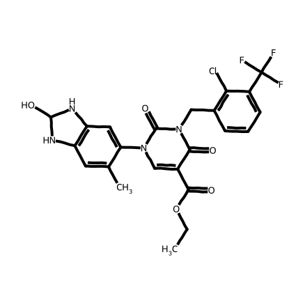 CCOC(=O)c1cn(-c2cc3c(cc2C)NC(O)N3)c(=O)n(Cc2cccc(C(F)(F)F)c2Cl)c1=O